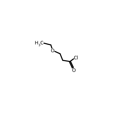 CCOCCC(=O)Cl